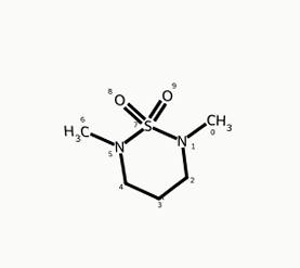 CN1C[CH]CN(C)S1(=O)=O